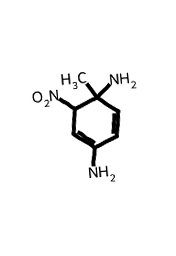 CC1(N)C=CC(N)=CC1[N+](=O)[O-]